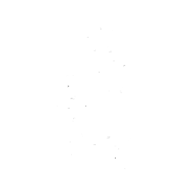 CC(O)(C=CC1CCC(O)C1(CC(=O)O)OCc1cccc(-c2ccccc2)c1)CCCc1ccccc1